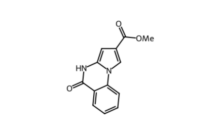 COC(=O)c1cc2[nH]c(=O)c3ccccc3n2c1